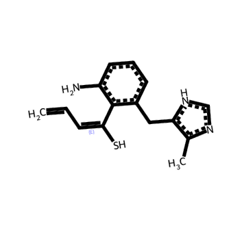 C=C/C=C(/S)c1c(N)cccc1Cc1[nH]cnc1C